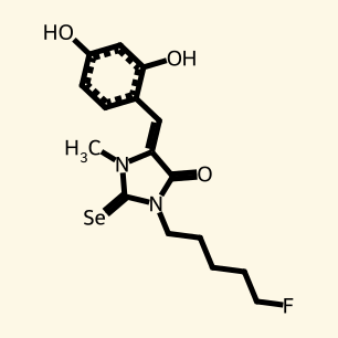 CN1C(=[Se])N(CCCCCF)C(=O)C1=Cc1ccc(O)cc1O